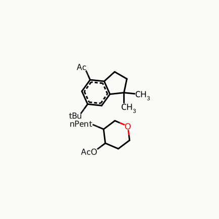 CC(=O)c1cc(C(C)(C)C)cc2c1CCC2(C)C.CCCCCC1COCCC1OC(C)=O